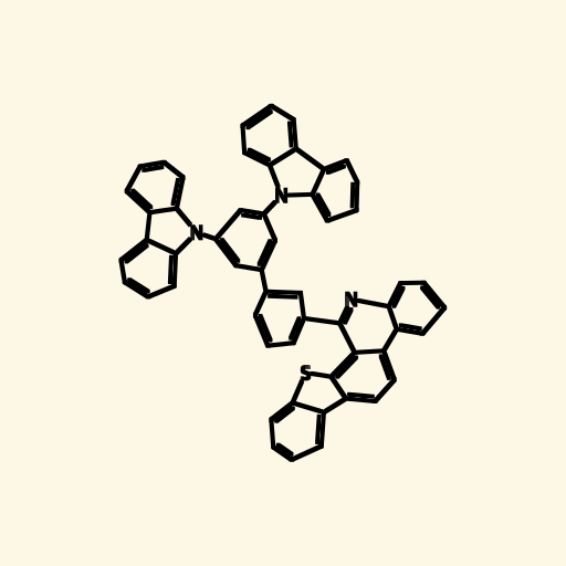 c1cc(-c2cc(-n3c4ccccc4c4ccccc43)cc(-n3c4ccccc4c4ccccc43)c2)cc(-c2nc3ccccc3c3ccc4c5ccccc5sc4c23)c1